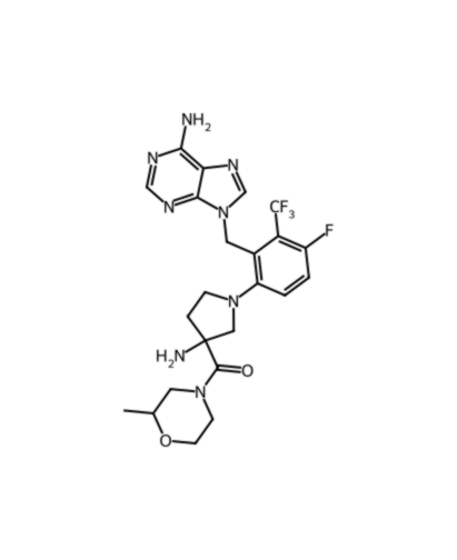 CC1CN(C(=O)C2(N)CCN(c3ccc(F)c(C(F)(F)F)c3Cn3cnc4c(N)ncnc43)C2)CCO1